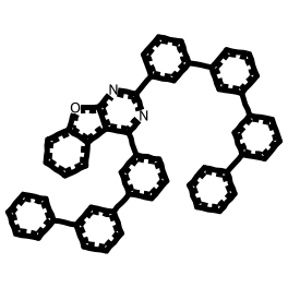 c1ccc(-c2cccc(-c3cccc(-c4cccc(-c5nc(-c6cccc(-c7cccc(-c8ccccc8)c7)c6)c6c(n5)oc5ccccc56)c4)c3)c2)cc1